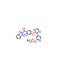 COc1cc(-c2nccnc2Oc2ccc(C(=O)c3nc4ccccc4[nH]3)cc2)ccn1